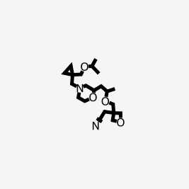 CC(C)OCC1(CN2CCOC(CC(C)OCC3(CC#N)COC3)C2)CC1